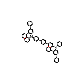 c1ccc(-c2ccc(N(c3ccccc3)c3ccc(-c4ccc(-c5ccc(N(c6ccccc6)c6ccc(-c7ccccc7)cc6-c6ccccc6)cc5)cc4)cc3)c(-c3ccccc3)c2)cc1